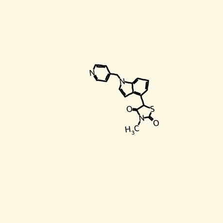 CN1C(=O)SC(c2cccc3c2ccn3Cc2ccncc2)C1=O